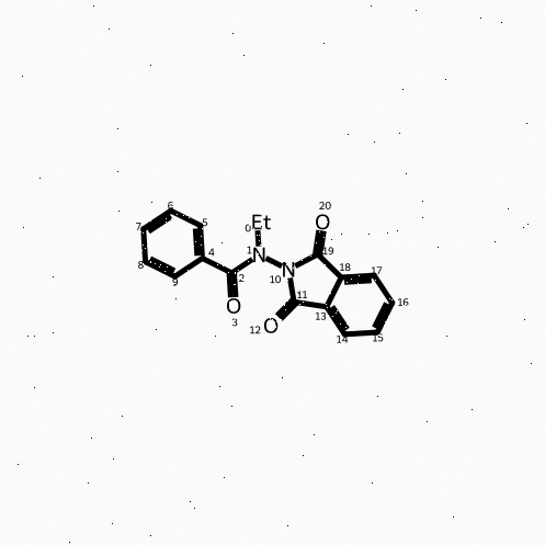 CCN(C(=O)c1ccccc1)N1C(=O)c2ccccc2C1=O